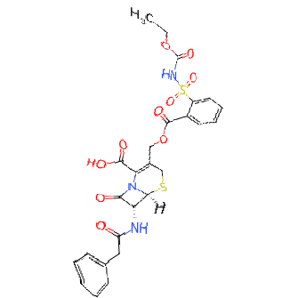 CCOC(=O)NS(=O)(=O)c1ccccc1C(=O)OCC1=C(C(=O)O)N2C(=O)[C@@H](NC(=O)Cc3ccccc3)[C@@H]2SC1